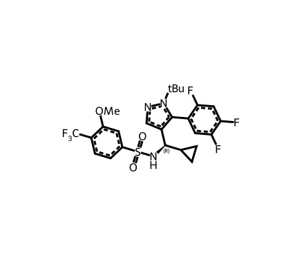 COc1cc(S(=O)(=O)N[C@@H](c2cnn(C(C)(C)C)c2-c2cc(F)c(F)cc2F)C2CC2)ccc1C(F)(F)F